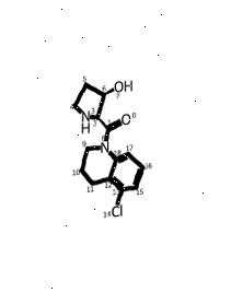 O=C([C@H]1NCC[C@H]1O)N1CCCc2c(Cl)cccc21